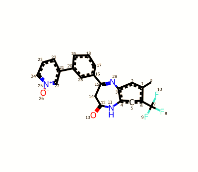 Cc1cc2c(cc1C(F)(F)F)NC(=O)CC(c1cccc(-c3ccc[n+]([O-])c3)c1)=N2